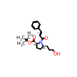 CC(C)(C)OC(=O)[C@@H]1CC[C@H](CCCO)N1C(=O)/C=C/c1ccccc1